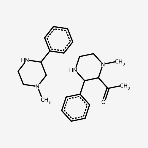 CC(=O)C1C(c2ccccc2)NCCN1C.CN1CCNC(c2ccccc2)C1